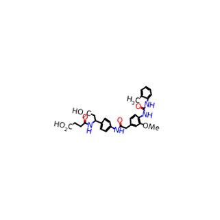 COc1cc(CC(=O)Nc2ccc(C(CC(=O)O)NC(=O)CCC(=O)O)cc2)ccc1NC(=O)Nc1ccccc1C